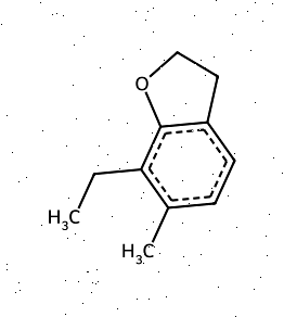 CCc1c(C)ccc2c1OCC2